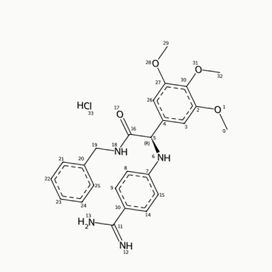 COc1cc([C@@H](Nc2ccc(C(=N)N)cc2)C(=O)NCc2ccccc2)cc(OC)c1OC.Cl